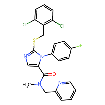 CN(Cc1ccccn1)C(=O)c1cnc(SCc2c(Cl)cccc2Cl)n1-c1ccc(F)cc1